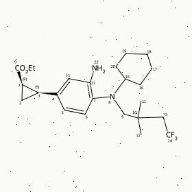 CCOC(=O)[C@@H]1C[C@@H]1c1ccc(N(CC(C)(C)CC(F)(F)F)C2CCCCC2)c(N)c1